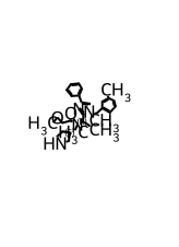 COCC(=O)N(C[C@H]1CCNC1)[C@@H](c1nc(-c2ccccc2)cn1Cc1cccc(C)c1)C(C)(C)C